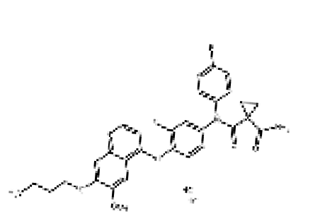 COc1cc2c(Oc3ccc(N(C(=O)C4(C(N)=O)CC4)c4ccc(F)cc4)cc3F)ccnc2cc1OCCCN.Cl.Cl